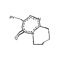 CC(C)c1cnc2n(c1=O)CCCC2